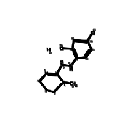 CN1CCCN=C1NNc1ccc(Cl)cc1Cl.I